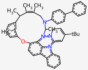 C/C1=C(\C)C(C)c2cccc(c2C)Oc2ccc3c4ccccc4n4c5n(n(c2c34)C(C)N(c2ccc(-c3ccccc3)cc2)C1)CC=C(C(C)(C)C)C=5